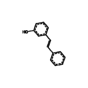 Oc1cccc(/C=C/c2ccccc2)c1